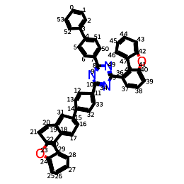 c1ccc(-c2ccc(-c3nc(-c4ccc(-c5ccc6c(ccc7oc8ccccc8c76)c5)cc4)nc(-c4cccc5oc6ccccc6c45)n3)cc2)cc1